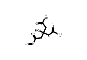 O=NC(=O)CC(O)(CC(=O)O)CC(=O)O